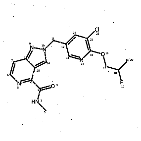 CNC(=O)c1nccc2nn(Cc3cnc(OCC(F)F)c(Cl)c3)cc12